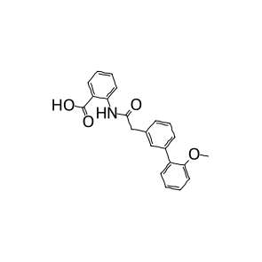 COc1ccccc1-c1cccc(CC(=O)Nc2ccccc2C(=O)O)c1